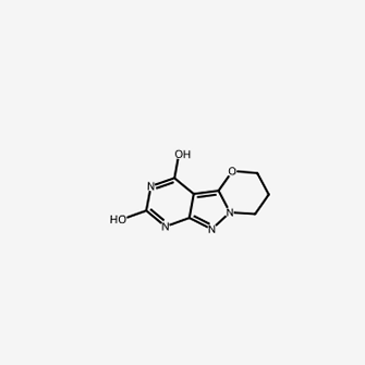 Oc1nc(O)c2c3n(nc2n1)CCCO3